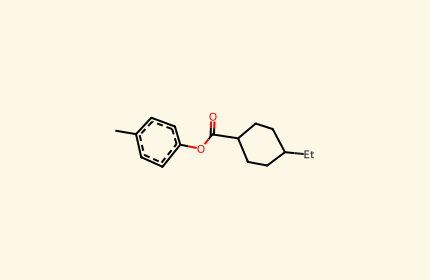 CCC1CCC(C(=O)Oc2ccc(C)cc2)CC1